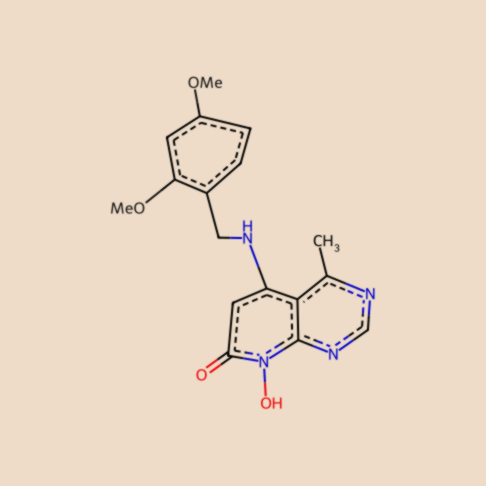 COc1ccc(CNc2cc(=O)n(O)c3ncnc(C)c23)c(OC)c1